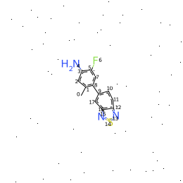 Cc1cc(N)c(F)cc1-c1ccc2nsnc2c1